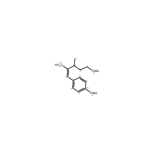 COCCC(C)C(=Cc1ccc(OC)cc1)C(=O)O